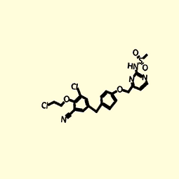 CS(=O)(=O)Nc1nccc(COc2ccc(Cc3cc(Cl)c(OCCCl)c(C#N)c3)cc2)n1